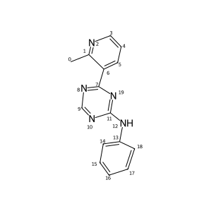 Cc1ncccc1-c1ncnc(Nc2ccccc2)n1